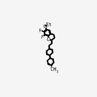 CCOc1cc2c(c(F)c1F)OC(CCC1CCC(C3CCC(C)CC3)CC1)CC2